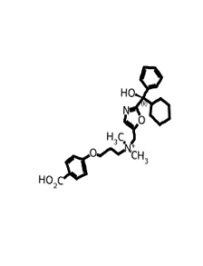 C[N+](C)(CCCOc1ccc(C(=O)O)cc1)Cc1cnc([C@](O)(c2ccccc2)C2CCCCC2)o1